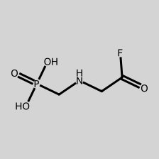 O=C(F)CNCP(=O)(O)O